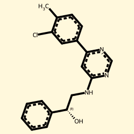 Cc1ccc(-c2cc(NC[C@H](O)c3ccccc3)ncn2)cc1Cl